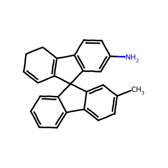 Cc1ccc2c(c1)C1(C3=C(CCC=C3)c3ccc(N)cc31)c1ccccc1-2